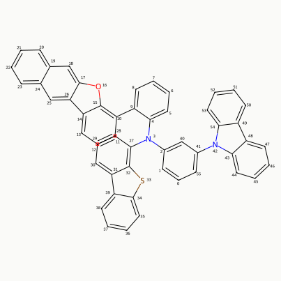 c1cc(N(c2ccccc2-c2cccc3c2oc2cc4ccccc4cc23)c2cccc3c2sc2ccccc23)cc(-n2c3ccccc3c3ccccc32)c1